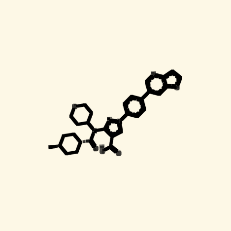 C[C@H]1CC[C@H](C(=O)N(c2nn(-c3ccc(-c4cnc5ccoc5c4)cc3)cc2C(=O)O)C2CCOCC2)CC1